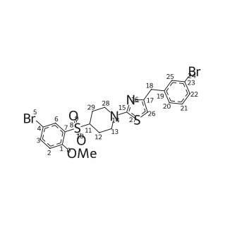 COc1ccc(Br)cc1S(=O)(=O)C1CCN(c2nc(Cc3cccc(Br)c3)cs2)CC1